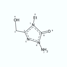 CCn1c(CO)nn(N)c1=O